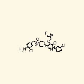 Nc1ccc(CS(=O)(=O)N2CCN(c3cnn(-c4cccc(Cl)c4)c(=O)c3OCC3(CF)CC3)CC2)cc1Cl